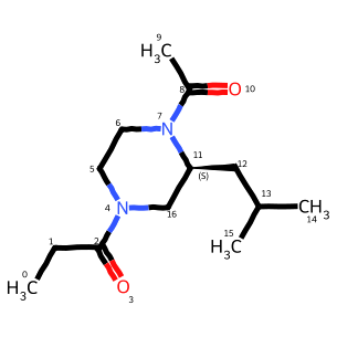 CCC(=O)N1CCN(C(C)=O)[C@@H](CC(C)C)C1